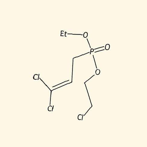 CCOP(=O)(CC=C(Cl)Cl)OCCCl